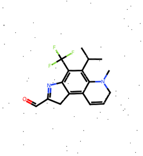 CC(C)c1c2c(c3c(c1C(F)(F)F)N=C(C=O)C3)C=CCN2C